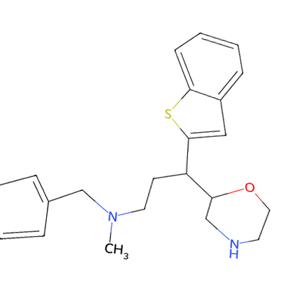 CN(CCC(c1cc2ccccc2s1)C1CNCCO1)Cc1ccccc1